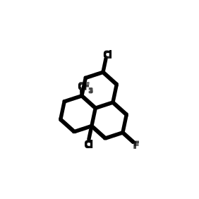 FC1CC2CC(Cl)CC3(C(F)(F)F)CCCC(Cl)(C1)C23